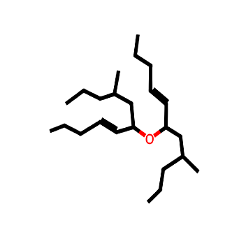 CCCC=CC(CC(C)CCC)OC(C=CCCC)CC(C)CCC